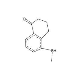 CBc1cccc2c1CCCC2=O